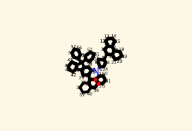 c1ccc(N(c2ccc(-c3cc4ccccc4c4ccccc34)cc2)c2cc3c(cc2-c2cccc4c2CCCC4)-c2ccccc2C3(c2ccccc2)c2ccccc2)cc1